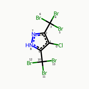 Clc1c(C(Br)(Br)Br)n[nH]c1C(Br)(Br)Br